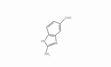 Nc1nc2cc([C]=O)ccc2[nH]1